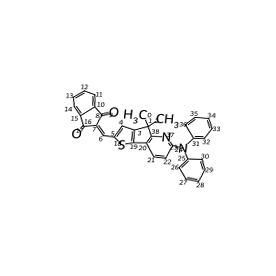 CC1(C)c2cc(C=C3C(=O)c4ccccc4C3=O)sc2-c2ccc(N(c3ccccc3)c3ccccc3)nc21